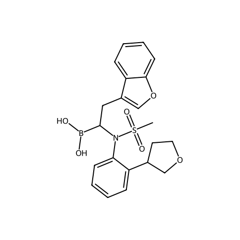 CS(=O)(=O)N(c1ccccc1C1CCOC1)C(Cc1coc2ccccc12)B(O)O